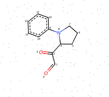 O=CC(=O)C1CCCN1c1ccccc1